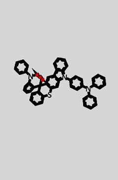 c1ccc(N(c2ccccc2)c2ccc(-n3c4ccccc4c4cc5c(cc43)Sc3ccccc3C53c4ccccc4N(c4ccccc4)c4ccccc43)cc2)cc1